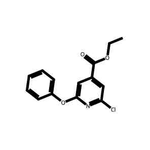 CCOC(=O)c1cc(Cl)nc(Oc2ccccc2)c1